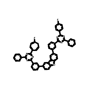 FC1=CC=C(c2nc(-c3ccccc3)nc(-c3cccc(-c4ccc5oc6ccc(-c7cccc(-c8nc(-c9ccccc9)nc(-c9ccc(F)cc9)n8)c7)cc6c5c4)c3)n2)C=CC1